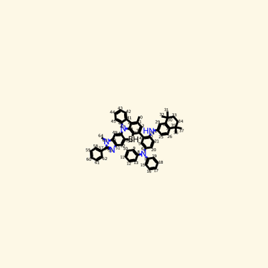 Cc1cc(-c2cc(N(c3ccccc3)c3ccccc3)ccc2Nc2ccc3c(c2)C(C)(C)CCC3(C)C)c2c3c1c1ccccc1n3-c1cc3c(cc1B2)nc(-c1ccccc1)n3C